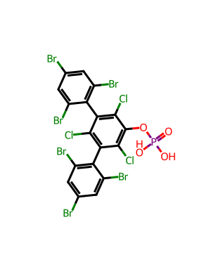 O=P(O)(O)Oc1c(Cl)c(-c2c(Br)cc(Br)cc2Br)c(Cl)c(-c2c(Br)cc(Br)cc2Br)c1Cl